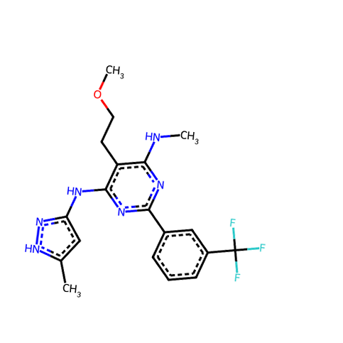 CNc1nc(-c2cccc(C(F)(F)F)c2)nc(Nc2cc(C)[nH]n2)c1CCOC